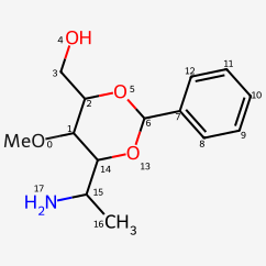 COC1C(CO)OC(c2ccccc2)OC1C(C)N